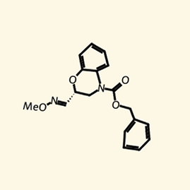 CON=C[C@H]1CN(C(=O)OCc2ccccc2)c2ccccc2O1